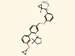 CC1(C)CCC[C@H]1c1cc(COc2cccc([C@@H](CC(=O)O)C3(C)CC3)c2)ccc1-c1cccc(OC2CC2)c1